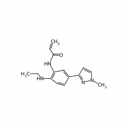 C=CC(=O)Nc1cc(-c2ccn(C)n2)ccc1NCC